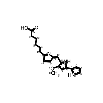 COc1cc(-c2ccc[nH]2)[nH]c1/C=C1\C=CC(CCCCCC(=O)O)=N1